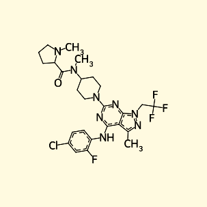 Cc1nn(CC(F)(F)F)c2nc(N3CCC(N(C)C(=O)C4CCCN4C)CC3)nc(Nc3ccc(Cl)cc3F)c12